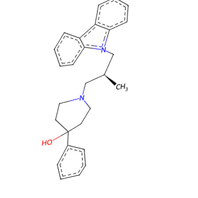 C[C@@H](CN1CCC(O)(c2ccccc2)CC1)Cn1c2ccccc2c2ccccc21